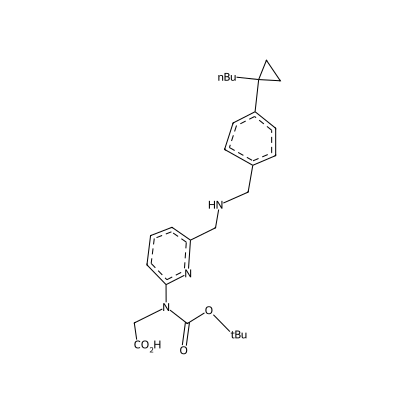 CCCCC1(c2ccc(CNCc3cccc(N(CC(=O)O)C(=O)OC(C)(C)C)n3)cc2)CC1